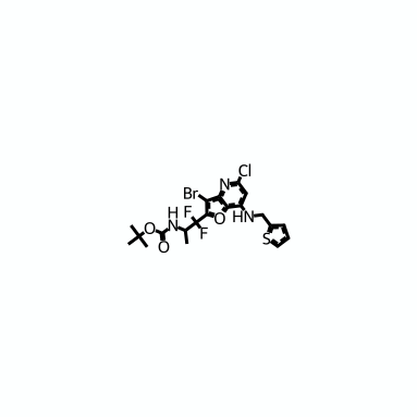 CC(NC(=O)OC(C)(C)C)C(F)(F)c1oc2c(NCc3cccs3)cc(Cl)nc2c1Br